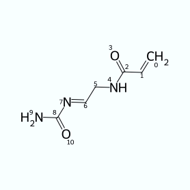 C=CC(=O)NCC=NC(N)=O